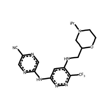 CC(C)N1CCOC(CNc2cc(Nc3cnc(C#N)cn3)nnc2C(F)(F)F)C1